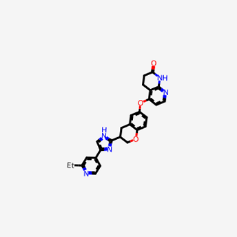 CCc1cc(-c2c[nH]c(C3COc4ccc(Oc5ccnc6c5CCC(=O)N6)cc4C3)n2)ccn1